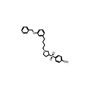 O=S(=O)(c1ccc(O)cc1)C1CCN(CCCCc2cccc(OCc3ccccc3)c2)C1